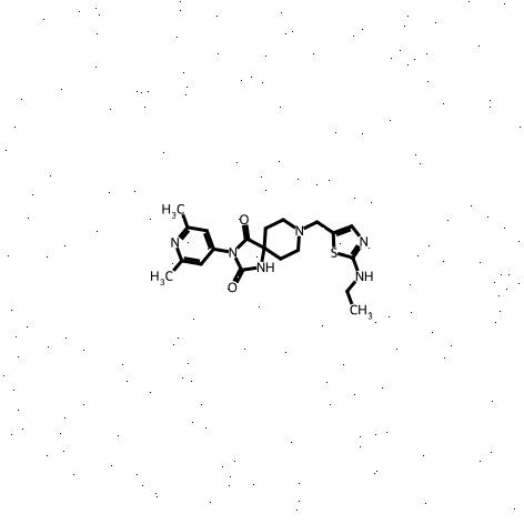 CCNc1ncc(CN2CCC3(CC2)NC(=O)N(c2cc(C)nc(C)c2)C3=O)s1